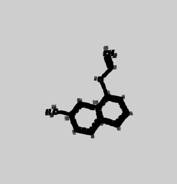 C=COc1cccc2ccc(C)cc12